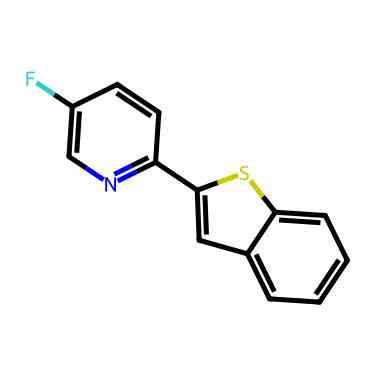 Fc1ccc(-c2cc3ccccc3s2)nc1